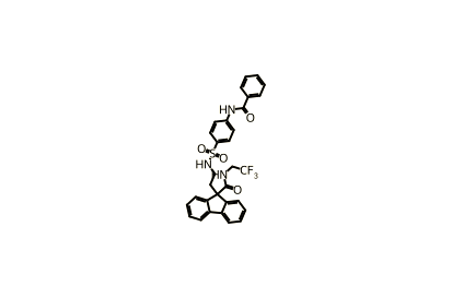 O=C(Nc1ccc(S(=O)(=O)NCCC2(C(=O)NCC(F)(F)F)c3ccccc3-c3ccccc32)cc1)c1ccccc1